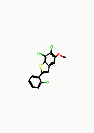 COc1cc2cc(-c3ccccc3Cl)sc2c(Cl)c1Cl